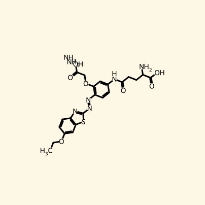 CCOc1ccc2nc(/N=N/c3ccc(NC(=O)CCC(N)C(=O)O)cc3OCC(=O)O)sc2c1.N.N